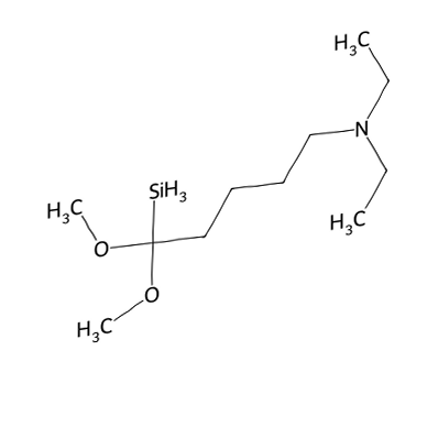 CCN(CC)CCCCC([SiH3])(OC)OC